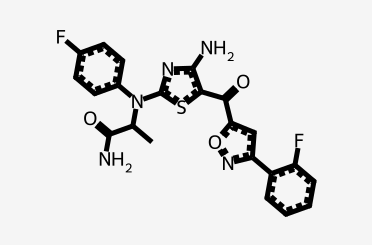 CC(C(N)=O)N(c1ccc(F)cc1)c1nc(N)c(C(=O)c2cc(-c3ccccc3F)no2)s1